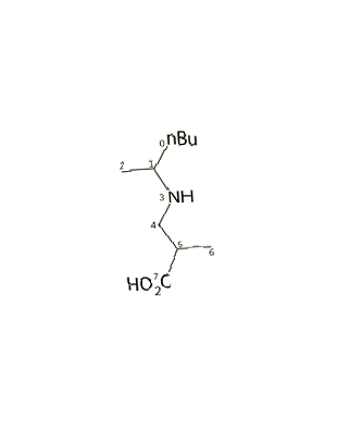 CCCCC(C)NCC(C)C(=O)O